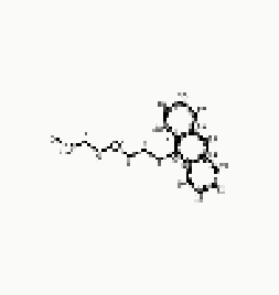 COCCOCCCc1c2ccccc2cc2ccccc12